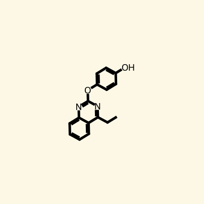 CCc1nc(Oc2ccc(O)cc2)nc2ccccc12